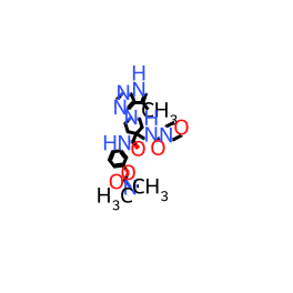 Cc1c[nH]c2ncnc(N3CCC(CNC(=O)N4CCOCC4)(C(=O)Nc4cccc(OC(=O)N(C)C)c4)CC3)c12